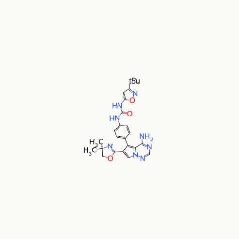 CC1(C)COC(c2cn3ncnc(N)c3c2-c2ccc(NC(=O)Nc3cc(C(C)(C)C)no3)cc2)=N1